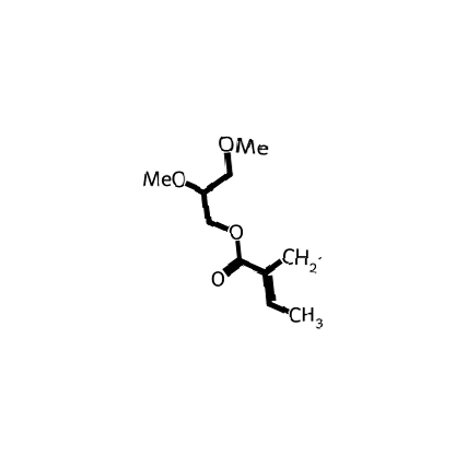 [CH2]/C(=C\C)C(=O)OCC(COC)OC